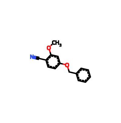 COc1cc(OCc2ccccc2)ccc1C#N